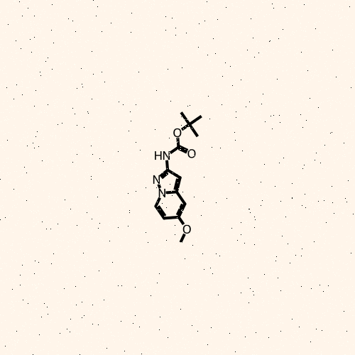 COc1ccn2nc(NC(=O)OC(C)(C)C)cc2c1